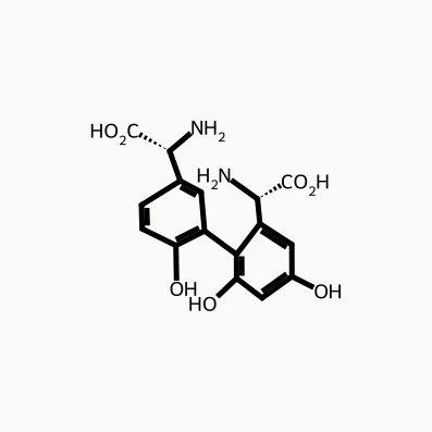 N[C@H](C(=O)O)c1cc(O)cc(O)c1-c1cc([C@@H](N)C(=O)O)ccc1O